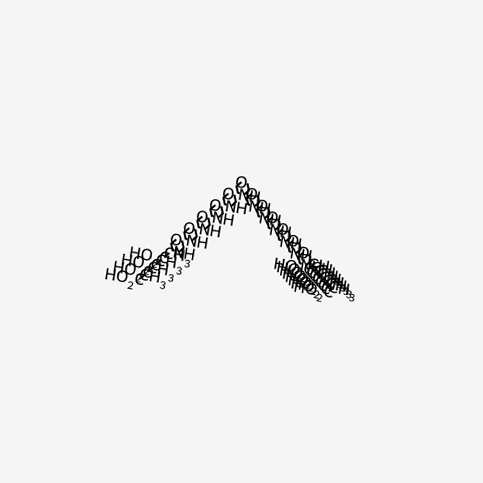 C1COCCN1.C1COCCN1.C1COCCN1.C1COCCN1.C1COCCN1.C1COCCN1.C1COCCN1.C1COCCN1.C1COCCN1.C1COCCN1.C1COCCN1.C1COCCN1.CC(=O)O.CC(=O)O.CC(=O)O.CC(=O)O.CC(=O)O.CC(=O)O.CC(=O)O.CC(=O)O.CC(=O)O.CC(=O)O.CC(=O)O.CC(=O)O